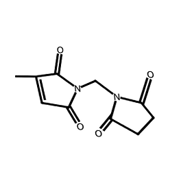 CC1=CC(=O)N(CN2C(=O)CCC2=O)C1=O